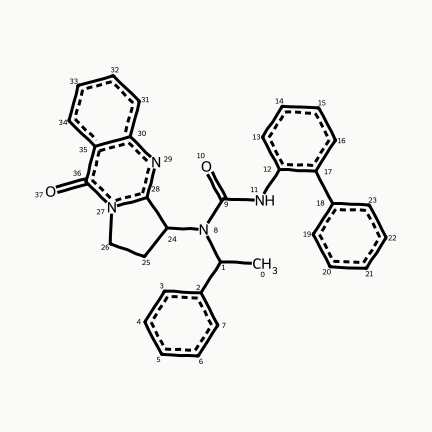 CC(c1ccccc1)N(C(=O)Nc1ccccc1-c1ccccc1)C1CCn2c1nc1ccccc1c2=O